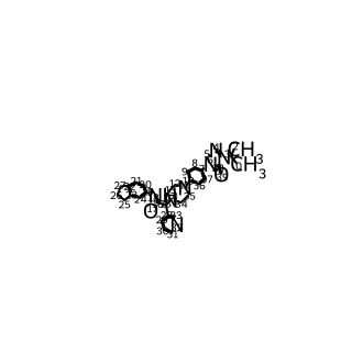 CC(C)n1ncn(-c2ccc(N3CCN(C(C(=O)Nc4ccc5c(c4)CCC5)c4cccnc4)CC3)cc2)c1=O